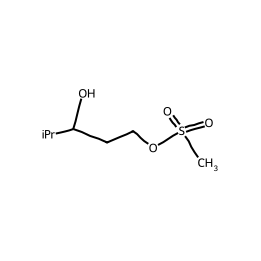 CC(C)C(O)CCOS(C)(=O)=O